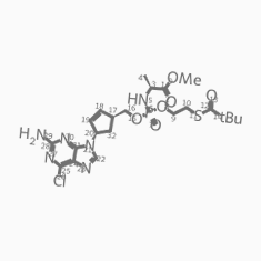 COC(=O)[C@H](C)NP(=O)(OCCSC(=O)C(C)(C)C)OC[C@@H]1C=C[C@H](n2cnc3c(Cl)nc(N)nc32)C1